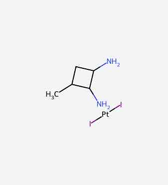 CC1CC(N)C1N.[I][Pt][I]